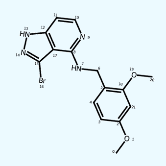 COc1ccc(CNc2nccc3[nH]nc(Br)c23)c(OC)c1